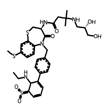 CCNC1C(c2ccc(CN3C(=O)[C@H](NC(=O)CC(C)(C)NC[C@H](O)CO)CSc4cc(SC)ccc43)cc2)=CC=CC1=S(=O)=O